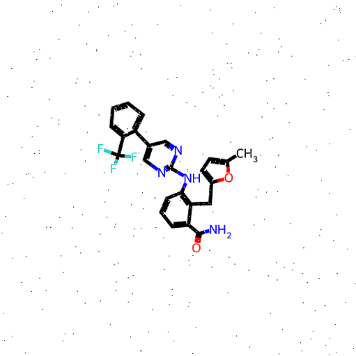 Cc1ccc(Cc2c(Nc3ncc(-c4ccccc4C(F)(F)F)cn3)cccc2C(N)=O)o1